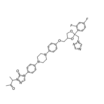 CC(=O)C(C)n1ncn(-c2ccc(N3CCN(c4ccc(OCC5COC(Cn6cncn6)(c6ccc(F)cc6F)O5)cc4)CC3)cc2)c1=O